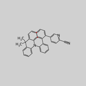 CC1(C)c2ccccc2N(c2ccccc2-c2ccccc2-c2ccc(C#N)nc2)c2ccccc21